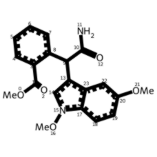 COC(=O)c1ccccc1C(C(N)=O)c1cn(OC)c2ccc(OC)cc12